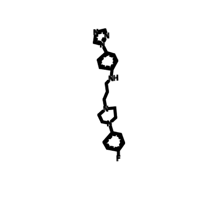 Fc1ccc(N2CCN(CCCNc3ccc(-n4cncn4)cc3)CC2)cc1